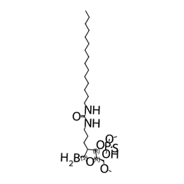 B[C@@H]1O[C@H](COC)[C@H](OP(O)(=S)OC)C1CCCNC(=O)NCCCCCCCCCCCCCCC